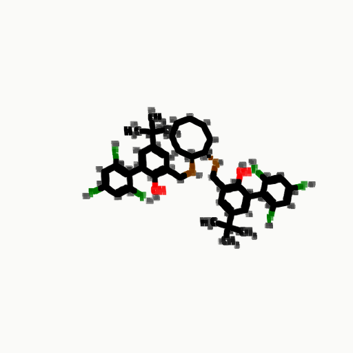 CC(C)(C)c1cc(CS[C@H]2CCCCCC[C@@H]2SCc2cc(C(C)(C)C)cc(-c3c(F)cc(F)cc3F)c2O)c(O)c(-c2c(F)cc(F)cc2F)c1